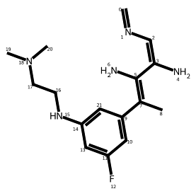 C=N/C=C(N)\C(N)=C(/C)c1cc(F)cc(NCCN(C)C)c1